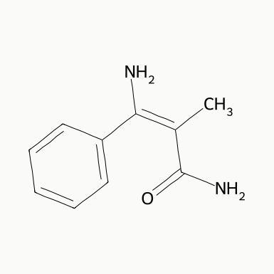 CC(C(N)=O)=C(N)c1ccccc1